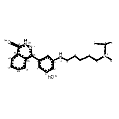 CC(C)N(C)CCCCCNc1cccc(-c2n[nH]c(=O)c3ccccc23)c1.Cl